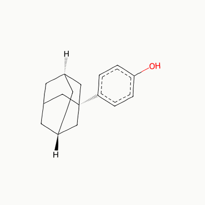 Oc1ccc([C@]23CC4C[C@H](C[C@@H](C4)C2)C3)cc1